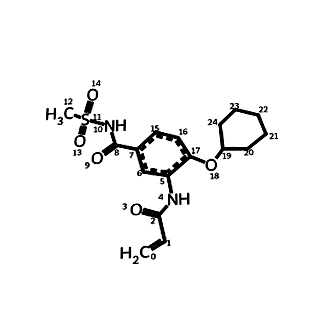 C=CC(=O)Nc1cc(C(=O)NS(C)(=O)=O)ccc1OC1CCCCC1